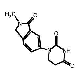 CN1Cc2ccc(N3CCC(=O)NC3=O)cc2C1=O